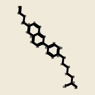 C=CCOc1ccc2cc(-c3ccc(CCCCCC(C)F)nc3)ccc2c1